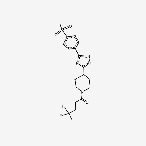 CS(=O)(=O)c1ccc(-c2noc(C3CCN(C(=O)CCC(F)(F)F)CC3)n2)cc1